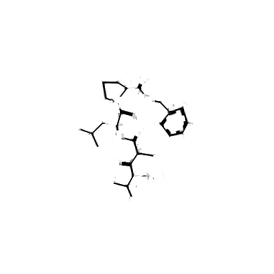 CC(C)C[C@H](NC(=O)C(C)C(=O)[C@@H](N)C(C)C)C(=O)N1CCC[C@H]1C(=O)OCc1ccccc1